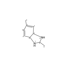 CC1=CC2NC(C)NC2C=C1